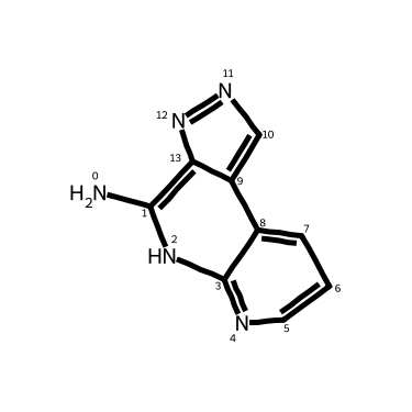 Nc1[nH]c2ncccc2c2cnnc1-2